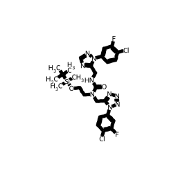 CC(C)(C)[Si](C)(C)OCCN(Cc1nnnn1-c1ccc(Cl)c(F)c1)C(=O)NCc1ncnn1-c1ccc(Cl)c(F)c1